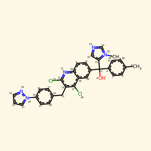 Cc1ccc(C(O)(c2ccc3nc(Cl)c(Cc4ccc(-n5cccn5)cc4)c(Cl)c3c2)c2cncn2C)cc1